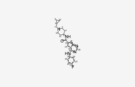 O=C(NC1CCN(CC2CC2)CC1)c1cc2c(Nc3ccc(F)cc3)ncnc2s1